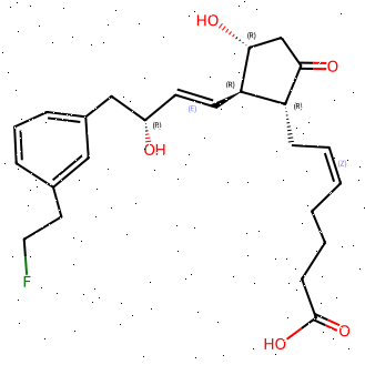 O=C(O)CCC/C=C\C[C@H]1C(=O)C[C@@H](O)[C@@H]1/C=C/[C@H](O)Cc1cccc(CCF)c1